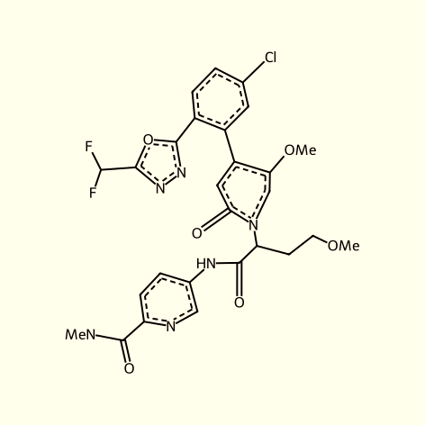 CNC(=O)c1ccc(NC(=O)C(CCOC)n2cc(OC)c(-c3cc(Cl)ccc3-c3nnc(C(F)F)o3)cc2=O)cn1